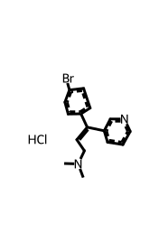 CN(C)C/C=C(/c1ccc(Br)cc1)c1cccnc1.Cl